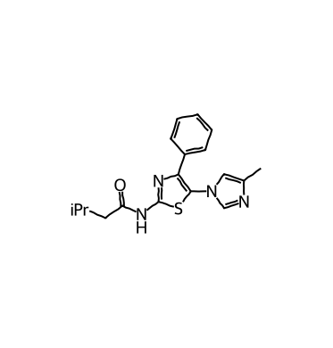 Cc1cn(-c2sc(NC(=O)CC(C)C)nc2-c2ccccc2)cn1